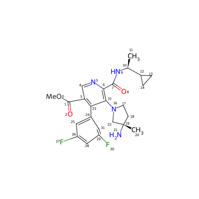 COC(=O)c1cnc(C(=O)N[C@@H](C)C2CC2)c(N2CC[C@](C)(N)C2)c1-c1cc(F)cc(F)c1